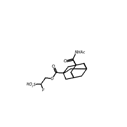 CC(=O)NC(=O)C12CC3CC(C1)CC(C(=O)OCC(F)S(=O)(=O)O)(C3)C2